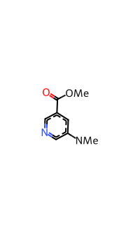 CNc1cncc(C(=O)OC)c1